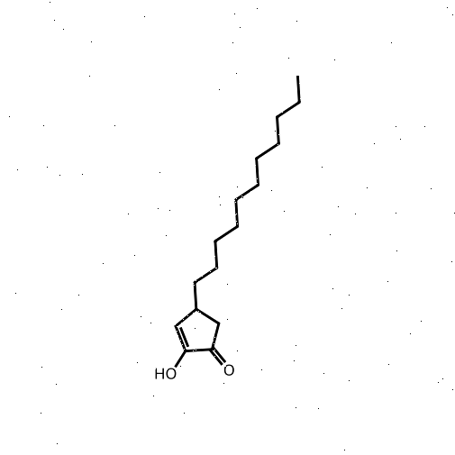 CCCCCCCCCCCC1C=C(O)C(=O)C1